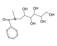 CN(CC(O)C(O)C(O)C(O)CO)C(=O)c1ccccc1